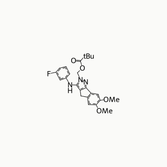 COc1cc2c(cc1OC)-c1nn(COC(=O)C(C)(C)C)c(Nc3cccc(F)c3)c1C2